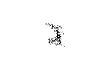 CCOC(=O)OC[C@H](C)OC(=O)[C@@H](N)Cc1ccc(OC(=O)CC(C)C)c(OC(=O)CC(C)C)c1